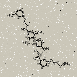 Cc1nc(NCCCc2cccc(O)c2)nc(C)c1C(=O)N[C@@H](CNC(=O)c1cccc(OCCCN)c1)C(=O)O